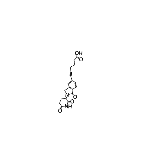 O=C(O)CCCC#Cc1ccc2c(c1)CN(C1CCC(=O)NC1=O)C2=O